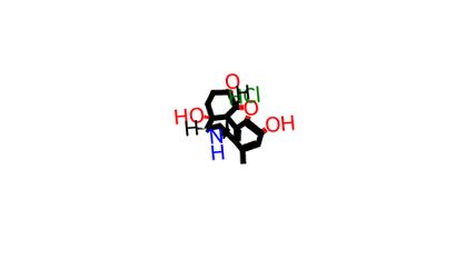 Cc1cc(O)c2c3c1C[C@H]1NCC[C@@]34[C@@H](O2)C(=O)CC[C@@]14O.Cl